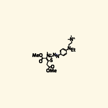 CCN(CC[N+](C)(C)C)c1ccc(/N=N/c2sc(CC(=O)OC)c(C(=O)OC)[n+]2C)cc1